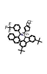 CC(C)(C)c1ccc2c(c1)-c1cc(C(C)(C)C)ccc1[CH]2/[Zr+2]([C]1=CC=CC1)=[C](/c1cccc(C(F)(F)F)c1)c1cccc2ccccc12.[Cl-].[Cl-]